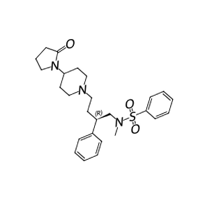 CN(C[C@H](CCN1CCC(N2CCCC2=O)CC1)c1ccccc1)S(=O)(=O)c1ccccc1